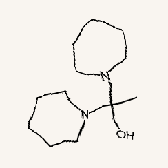 CC(O)(N1CCCCC1)N1CCCCC1